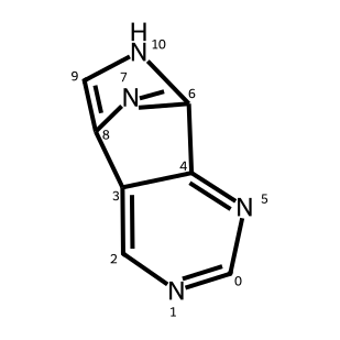 c1ncc2c(n1)-c1nc-2c[nH]1